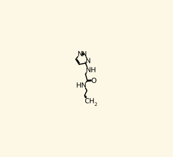 C=CCNC(=O)CNc1ccnnn1